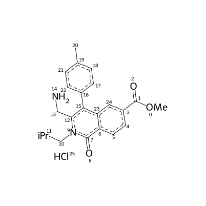 COC(=O)c1ccc2c(=O)n(CC(C)C)c(CN)c(-c3ccc(C)cc3)c2c1.Cl